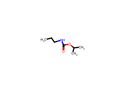 [CH2]CCNC(=O)OC(C)C